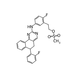 CS(=O)(=O)OCCc1cc(Nc2ncc3c(n2)-c2ccccc2C(c2ccccc2F)C3)ccc1F